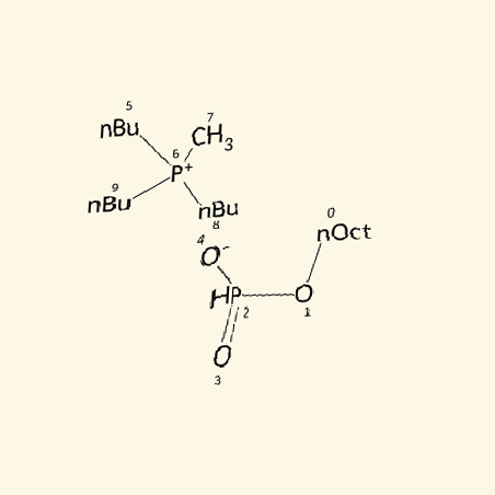 CCCCCCCCO[PH](=O)[O-].CCCC[P+](C)(CCCC)CCCC